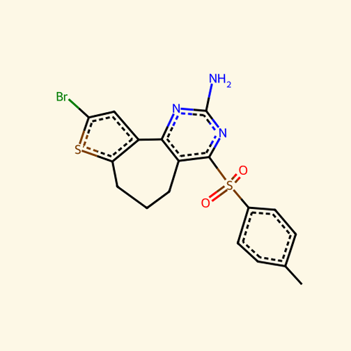 Cc1ccc(S(=O)(=O)c2nc(N)nc3c2CCCc2sc(Br)cc2-3)cc1